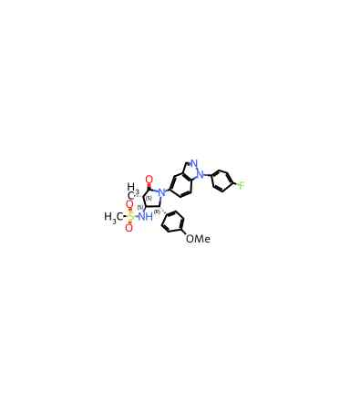 COc1ccc([C@@H]2[C@@H](NS(C)(=O)=O)[C@H](C)C(=O)N2c2ccc3c(cnn3-c3ccc(F)cc3)c2)cc1